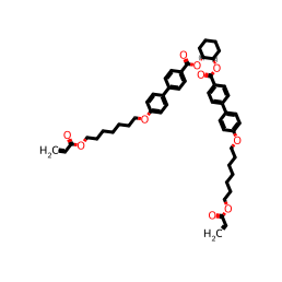 C=CC(=O)OCCCCCCCOc1ccc(-c2ccc(C(=O)O[C@@H]3CCCC[C@H]3OC(=O)c3ccc(-c4ccc(OCCCCCCCOC(=O)C=C)cc4)cc3)cc2)cc1